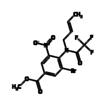 CC=CCN(C(=O)C(F)(F)F)c1c(Br)cc(C(=O)OC)cc1[N+](=O)[O-]